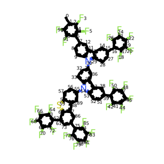 Cc1c(F)c(F)c(-c2ccc3c(c2)c2cc(-c4c(F)c(F)c(F)c(F)c4F)ccc2n3-c2ccc3c(c2)c2cc(-c4c(F)c(F)c(F)c(F)c4F)ccc2n3-c2ccc3sc4c(-c5c(F)c(F)c(F)c(F)c5F)cc(-c5c(F)c(F)c(F)c(F)c5F)cc4c3c2)c(F)c1F